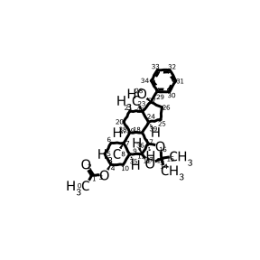 CC(=O)O[C@H]1CC[C@@]2(C)[C@H](C1)[C@H]1OC(C)(C)O[C@@H]1C1[C@@H]2CC[C@@]2(C)[C@H]1CC[C@@]2(O)c1ccccc1